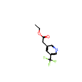 CCOC(=O)Cc1cncc(C(F)(F)F)c1